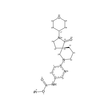 CC(C)OC(=O)Nc1ccc(N2CCC[C@]3(CCN(C4CCOCC4)C3=O)C2)nc1